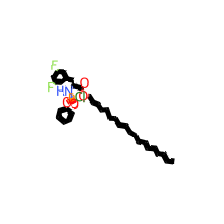 CCCCCCCCCCCCCCCCCCCOC(=O)[C@H](Cc1cc(F)cc(F)c1)NP(=O)(Cl)Oc1ccccc1